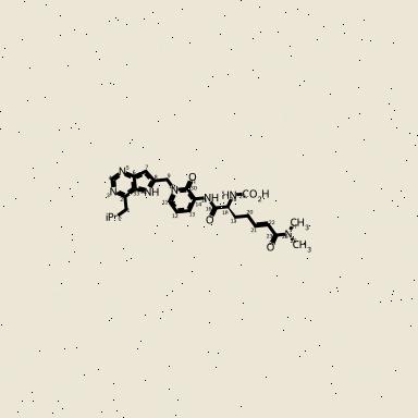 CC(C)Cc1ncnc2cc(Cn3cccc(NC(=O)[C@H](CC/C=C/C(=O)N(C)C)NC(=O)O)c3=O)[nH]c12